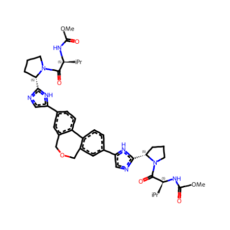 COC(=O)N[C@H](C(=O)N1CCC[C@H]1c1ncc(-c2ccc3c(c2)COCc2cc(-c4cnc([C@@H]5CCCN5C(=O)[C@@H](NC(=O)OC)C(C)C)[nH]4)ccc2-3)[nH]1)C(C)C